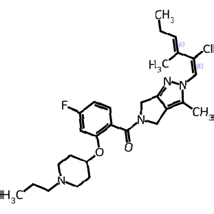 CC/C=C(C)/C(Cl)=C\n1nc2c(c1C)CN(C(=O)c1ccc(F)cc1OC1CCN(CCC)CC1)C2